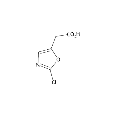 O=C(O)Cc1cnc(Cl)o1